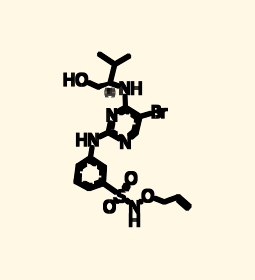 C=CCONS(=O)(=O)c1cccc(Nc2ncc(Br)c(N[C@@H](CO)C(C)C)n2)c1